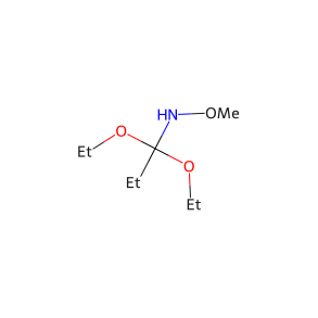 CCOC(CC)(NOC)OCC